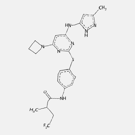 Cc1cc(Nc2cc(N3CCC3)nc(Sc3ccc(NC(=O)C(C)CC(F)(F)F)cc3)n2)[nH]n1